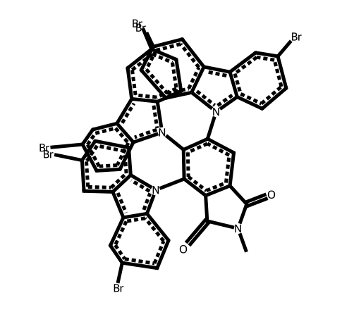 CN1C(=O)c2cc(-n3c4ccc(Br)cc4c4cc(Br)ccc43)c(-n3c4ccc(Br)cc4c4cc(Br)ccc43)c(-n3c4ccc(Br)cc4c4cc(Br)ccc43)c2C1=O